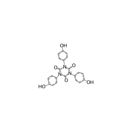 O=c1n(-c2ccc(O)cc2)c(=O)n(-c2ccc(O)cc2)c(=O)n1-c1ccc(O)cc1